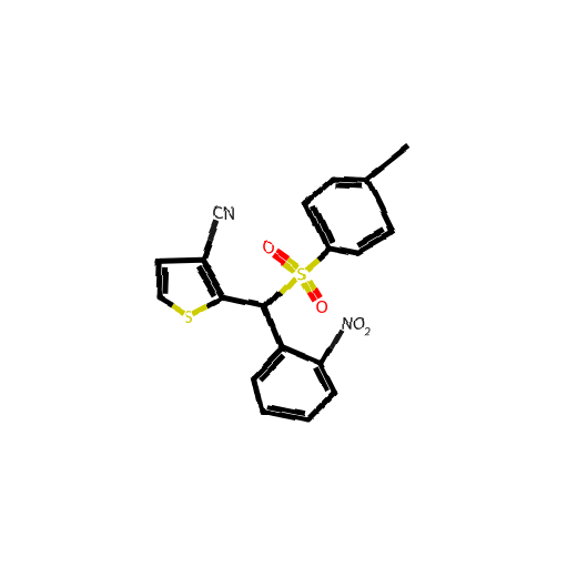 Cc1ccc(S(=O)(=O)C(c2ccccc2[N+](=O)[O-])c2sccc2C#N)cc1